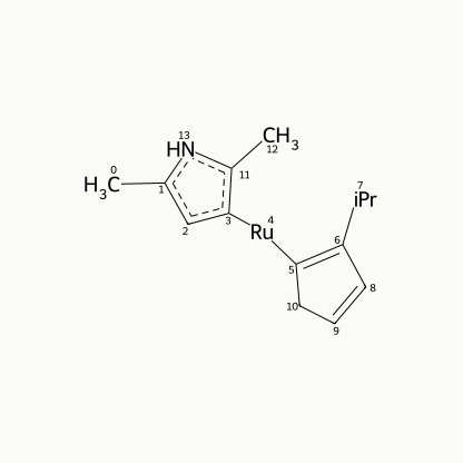 Cc1c[c]([Ru][C]2=C(C(C)C)C=CC2)c(C)[nH]1